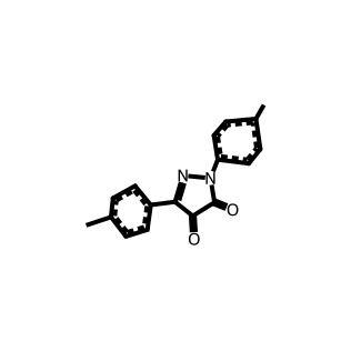 Cc1ccc(C2=NN(c3ccc(C)cc3)C(=O)C2=O)cc1